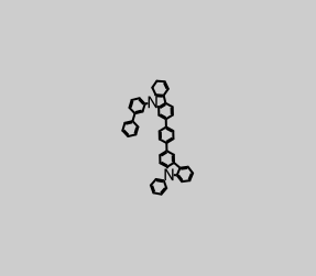 C1=Cc2c(n(-c3cccc(-c4ccccc4)c3)c3cc(-c4ccc(-c5ccc6c(c5)c5ccccc5n6-c5ccccc5)cc4)ccc23)CC1